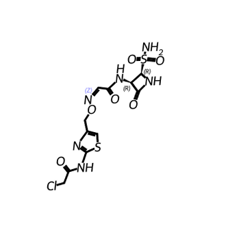 NS(=O)(=O)[C@H]1NC(=O)[C@H]1NC(=O)/C=N\OCc1csc(NC(=O)CCl)n1